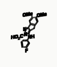 COc1cc2c(cc1OC)-c1nn(C(=O)O)c(Nc3cccc(F)c3)c1C2